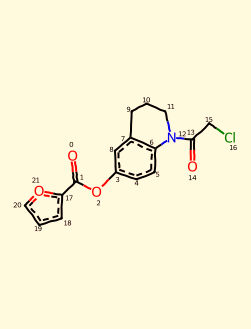 O=C(Oc1ccc2c(c1)CCCN2C(=O)CCl)c1ccco1